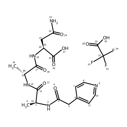 C[C@H](NC(=O)Cc1ccncc1)C(=O)N[C@H](C)C(=O)N[C@@H](CC(N)=O)C(=O)O.O=C(O)C(F)(F)F